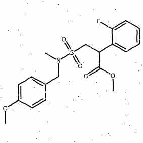 COC(=O)C(CS(=O)(=O)N(C)Cc1ccc(OC)cc1)c1ccccc1F